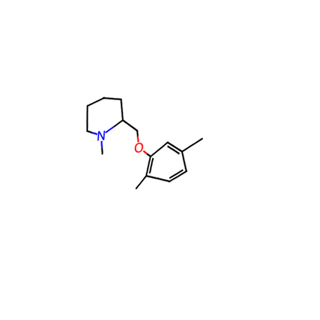 Cc1ccc(C)c(OCC2CCCCN2C)c1